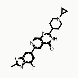 Cc1nc2c(F)cc(-c3cc4c(=O)[nH]c(C5CCN(C6CC6)CC5)nc4cn3)cc2o1